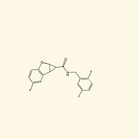 O=C(NCc1cc(F)ccc1F)C1C2Oc3ccc(F)cc3C21